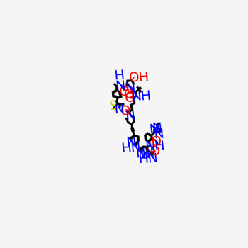 CNC(=O)c1nnc(Nc2ccc(C#CC3CCN(C(=O)CCCC(=O)NC(C(=O)N4C[C@H](O)C[C@H]4C(=O)NC(C)c4ccc(-c5scnc5C)cc4)C(C)(C)C)CC3)cn2)cc1Nc1cccc(-c2ncn(C)n2)c1OC